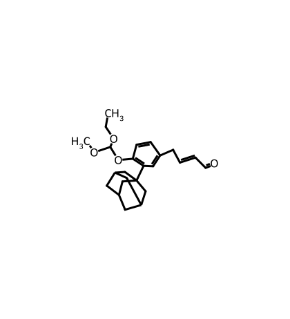 CCOC(OC)Oc1ccc(C/C=C/C=O)cc1C12CC3CC(CC(C3)C1)C2